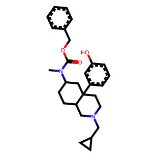 CN(C(=O)OCc1ccccc1)C1CCC2CN(CC3CC3)CCC2(c2cccc(O)c2)C1